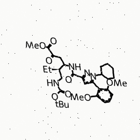 CC[C@H](CNC(=O)OC(C)(C)C)C(CC(=O)C(=O)OC)NC(=O)c1cc(-c2c(OC)cccc2OC)n(C2CCCCC2)n1